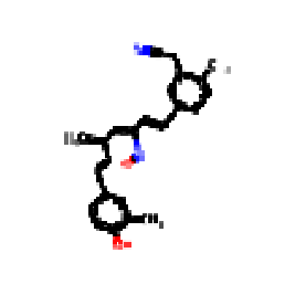 C=C(/C=C(/C=C/c1ccc(C)c(CC#N)c1)N=O)/C=C/c1ccc(O)c(C)c1